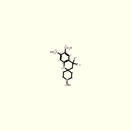 CC(C)(C)N1CCC2(CC1)CC(F)(F)c1cc(C(=O)O)c(C(=O)O)cc1O2